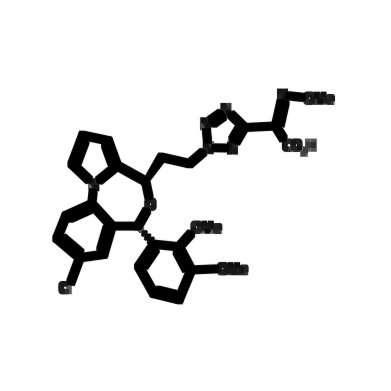 CO/N=C(\C(=O)O)c1nnn(CC[C@H]2O[C@H](c3cccc(OC)c3OC)c3cc(Cl)ccc3-n3cccc32)n1